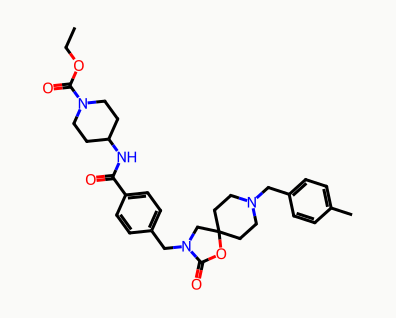 CCOC(=O)N1CCC(NC(=O)c2ccc(CN3CC4(CCN(Cc5ccc(C)cc5)CC4)OC3=O)cc2)CC1